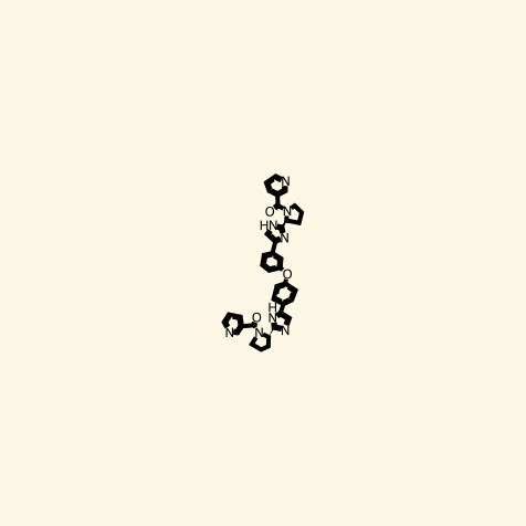 O=C(c1cccnc1)N1CCC[C@H]1c1nc(-c2cccc(Oc3ccc(-c4cnc([C@@H]5CCCN5C(=O)c5cccnc5)[nH]4)cc3)c2)c[nH]1